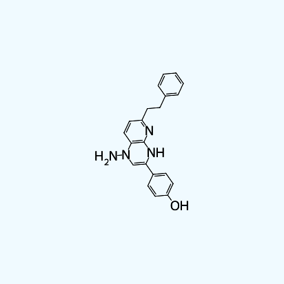 NN1C=C(c2ccc(O)cc2)Nc2nc(CCc3ccccc3)ccc21